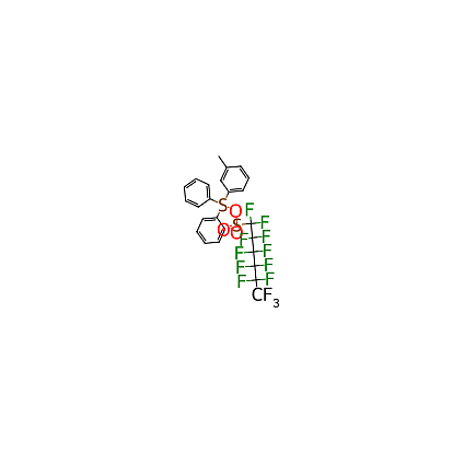 Cc1cccc(S(OS(=O)(=O)C(F)(F)C(F)(F)C(F)(F)C(F)(F)C(F)(F)C(F)(F)F)(c2ccccc2)c2ccccc2)c1